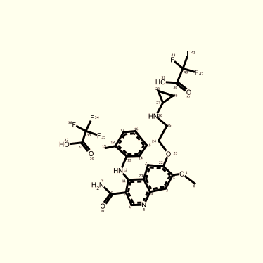 COc1cc2ncc(C(N)=O)c(Nc3ccccc3C)c2cc1OCCNC1CC1.O=C(O)C(F)(F)F.O=C(O)C(F)(F)F